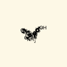 NC(=O)c1cn(-c2cn(-c3ccc(CO)cc3)nc2C(F)F)[n+]2ccc(N3CCOCC3)nc12